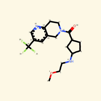 COCCNC1CCC(C(=O)N2CCc3ncc(C(F)(F)F)cc3C2)C1